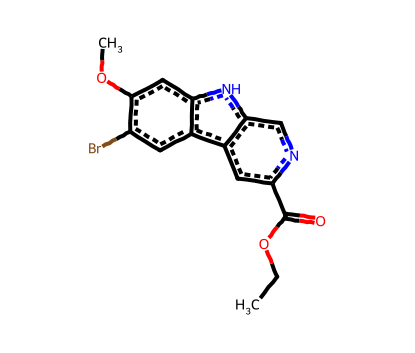 CCOC(=O)c1cc2c(cn1)[nH]c1cc(OC)c(Br)cc12